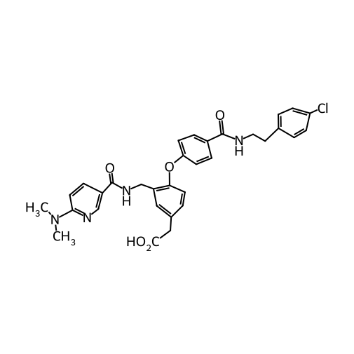 CN(C)c1ccc(C(=O)NCc2cc(CC(=O)O)ccc2Oc2ccc(C(=O)NCCc3ccc(Cl)cc3)cc2)cn1